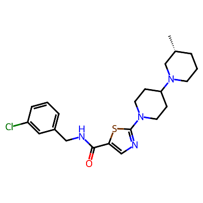 C[C@@H]1CCCN(C2CCN(c3ncc(C(=O)NCc4cccc(Cl)c4)s3)CC2)C1